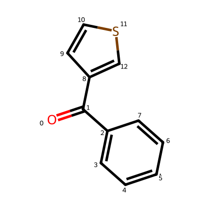 O=C(c1cc[c]cc1)c1ccsc1